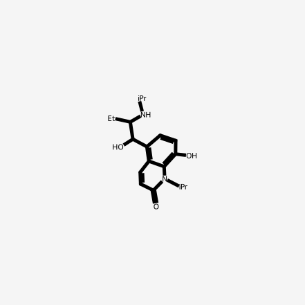 CCC(NC(C)C)C(O)c1ccc(O)c2c1ccc(=O)n2C(C)C